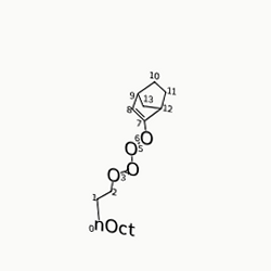 CCCCCCCCCCOOOOC1=CC2CCC1C2